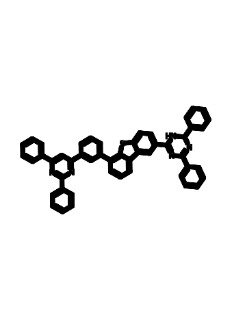 c1ccc(C2=NC(c3ccccc3)NC(c3ccc4sc5c(-c6cccc(-c7cc(-c8ccccc8)nc(-c8ccccc8)n7)c6)cccc5c4c3)=N2)cc1